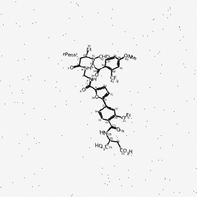 CCCCC[C@@H](C(=O)NCNC(=O)c1ccc(-c2ccc(C(=O)N[C@@H](CC(=O)O)C(=O)O)c(OCC)c2)o1)[C@@H](CC)N(C=O)OC(=O)c1ccc(OC)cc1C(F)(F)F